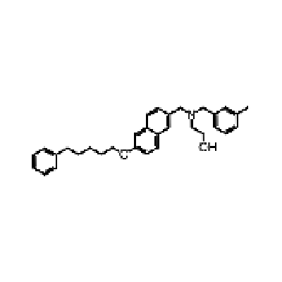 Cc1cccc(CN(CCO)Cc2ccc3cc(OCCCCCc4ccccc4)ccc3c2)c1